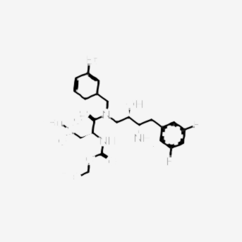 CCCCS(=O)(=O)C[C@H](NC(=O)OCC(F)(F)F)C(=O)N(CC1C=C(CC)C=CC1)C[C@@H](O)[C@@H](N)Cc1cc(F)cc(F)c1